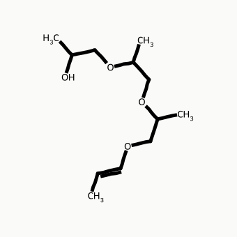 CC=COCC(C)OCC(C)OCC(C)O